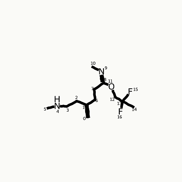 C=C(CCNC)CC/C(=N\C)OCC(C)(F)F